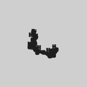 NC(=O)c1nn(-c2ccc(C(=O)NCCCOCCCNc3cccc4c3C(=O)N(C3CCC(=O)NC3=O)C4=O)cc2)cc1NC(=O)c1coc(-c2ccnc(NCC(F)(F)F)c2)n1